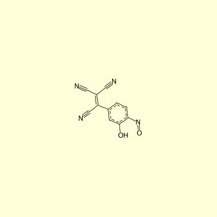 N#CC(C#N)=C(C#N)c1ccc(N=O)c(O)c1